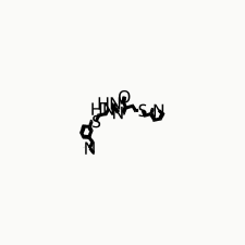 CN(C)Cc1cccc(CSCCNc2ncc(CCSCc3cccnc3)c(=O)[nH]2)c1